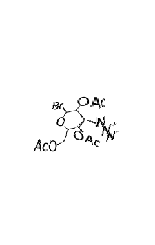 CC(=O)OCC1O[C@@H](Br)C(OC(C)=O)[C@@H](N=[N+]=[N-])[C@H]1OC(C)=O